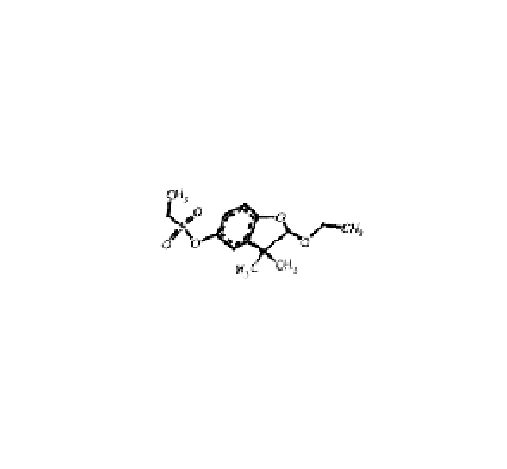 CCOC1Oc2ccc(OS(=O)(=O)CC)cc2C1(C)C